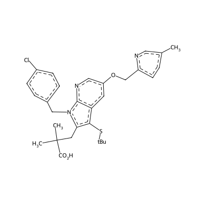 Cc1ccc(COc2cnc3c(c2)c(SC(C)(C)C)c(CC(C)(C)C(=O)O)n3Cc2ccc(Cl)cc2)nc1